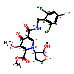 COC(=O)c1c(OC)c(=O)c(C(=O)NCc2c(F)cc(F)cc2F)cn1C1CCOC1O